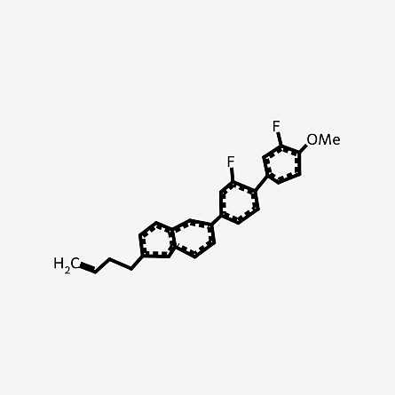 C=CCCc1ccc2cc(-c3ccc(-c4ccc(OC)c(F)c4)c(F)c3)ccc2c1